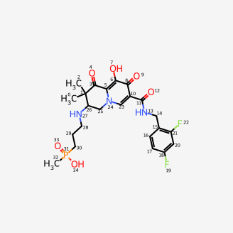 CC1(C)C(=O)c2c(O)c(=O)c(C(=O)NCc3ccc(F)cc3F)cn2CC1NCCCP(C)(=O)O